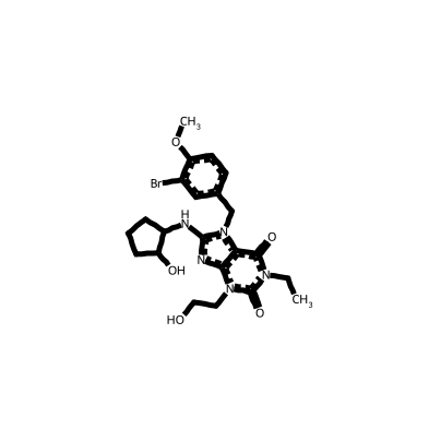 CCn1c(=O)c2c(nc(NC3CCCC3O)n2Cc2ccc(OC)c(Br)c2)n(CCO)c1=O